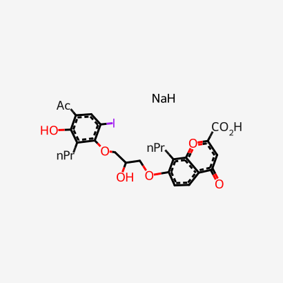 CCCc1c(O)c(C(C)=O)cc(I)c1OCC(O)COc1ccc2c(=O)cc(C(=O)O)oc2c1CCC.[NaH]